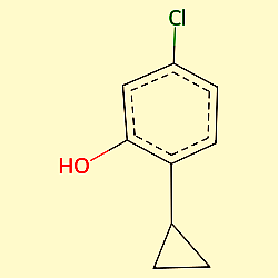 Oc1cc(Cl)ccc1C1CC1